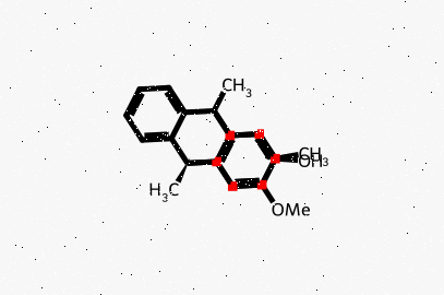 COc1cc2c(cc1C)C1(C)c3ccccc3[C@]2(C)c2ccc(O)cc21